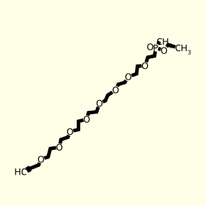 C#CCOCCOCCOCCOCCOCCOCCOCCOCCP(C)(=O)OCC